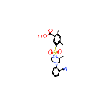 Cc1cc(C)c(S(=O)(=O)N2CCN(c3ccccc3C#N)C[C@@H]2C)cc1C(=O)O